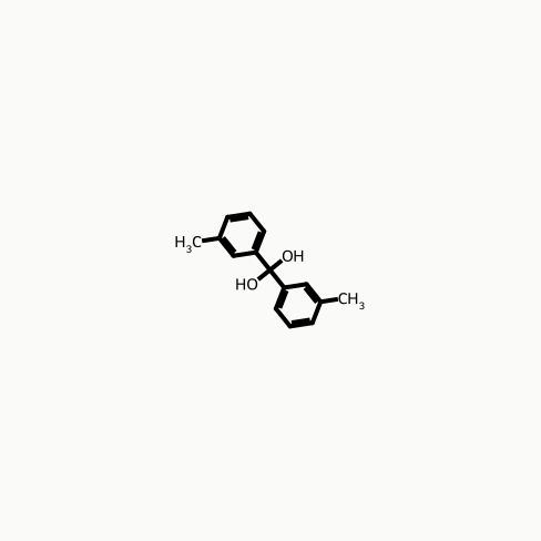 Cc1cccc(C(O)(O)c2cccc(C)c2)c1